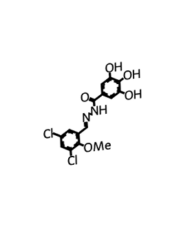 COc1c(Cl)cc(Cl)cc1/C=N/NC(=O)c1cc(O)c(O)c(O)c1